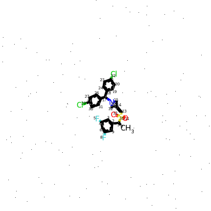 CC(c1cc(F)cc(F)c1)S(=O)(=O)C=C1CN(C(c2ccc(Cl)cc2)c2ccc(Cl)cc2)C1